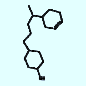 CC(CCCC1CCC(O)CC1)C1CC=CCC1